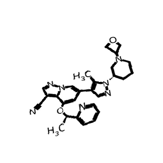 Cc1c(-c2cc(O[C@H](C)c3ccccn3)c3c(C#N)cnn3c2)cnn1[C@H]1CCCN(C2COC2)C1